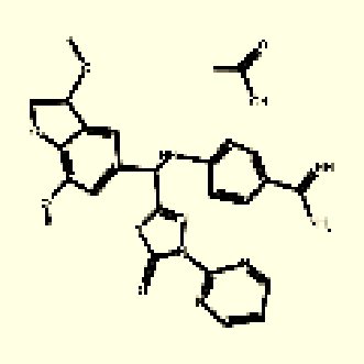 CC(=O)O.COc1cc(C(Nc2ccc(C(=N)N)cc2)c2nn(-c3ncccn3)c(=O)[nH]2)cc2c1OCC2OC